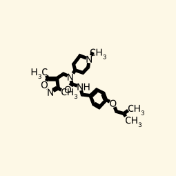 Cc1noc(C)c1CN(C(=O)NCc1ccc(OCC(C)C)cc1)C1CCN(C)CC1